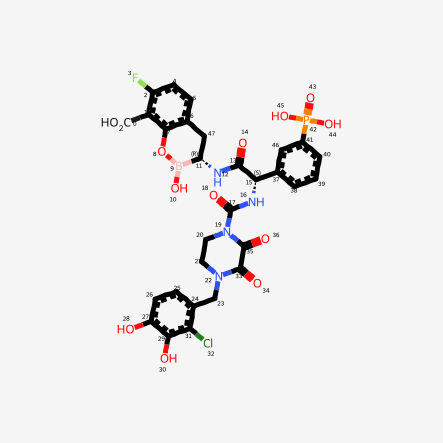 O=C(O)c1c(F)ccc2c1OB(O)[C@@H](NC(=O)[C@@H](NC(=O)N1CCN(Cc3ccc(O)c(O)c3Cl)C(=O)C1=O)c1cccc(P(=O)(O)O)c1)C2